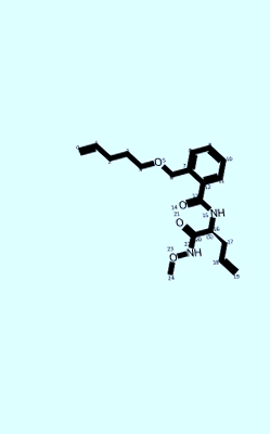 C=CCCCOCc1ccccc1C(=O)N[C@@H](CC=C)C(=O)NOC